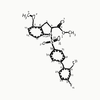 COC(=O)C1Cc2c(OC)cccc2N1S(=O)(=O)c1ccc(-c2ccc(F)cc2F)cc1